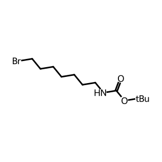 CC(C)(C)OC(=O)NCCCCCCCBr